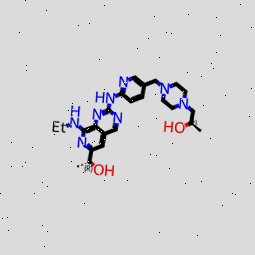 CCNc1nc([C@@H](C)O)cc2cnc(Nc3ccc(CN4CCN(C[C@@H](C)O)CC4)cn3)nc12